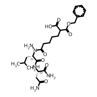 CC(C)C[C@@H](C(=O)N[C@@H](CC(N)=O)C(N)=O)N(N)C(=O)CCCCC(C(=O)O)C(=O)OCc1ccccc1